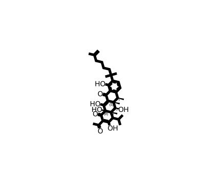 C=C(C)CCCCC(C)(C)c1ccc2c(c1O)C(=O)C1=C(O)[C@@]3(O)C(=O)C(C(C)=O)=C(O)C(C(C)C)[C@@]3(C)[C@H](O)[C@@]1(C)[C@@H]2C